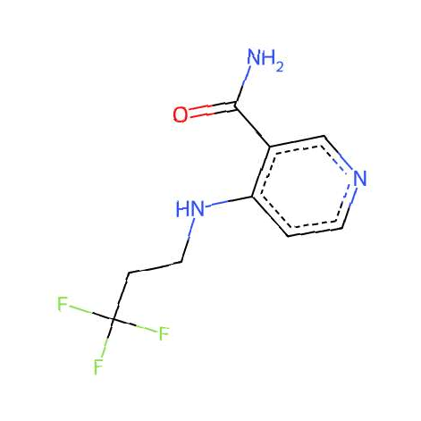 NC(=O)c1cnccc1NCCC(F)(F)F